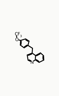 FC(F)(F)Oc1ccc(Cc2ccnc3ccccc23)cc1